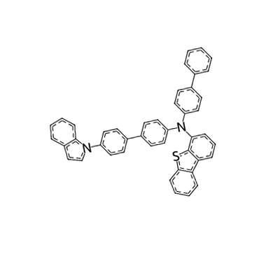 c1ccc(-c2ccc(N(c3ccc(-c4ccc(-n5ccc6ccccc65)cc4)cc3)c3cccc4c3sc3ccccc34)cc2)cc1